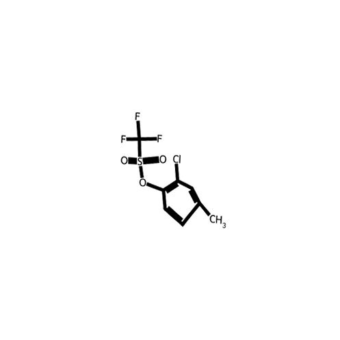 Cc1ccc(OS(=O)(=O)C(F)(F)F)c(Cl)c1